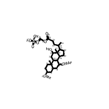 COC1CCC2(C)C(C1)CC(OC)C1C2CC(O)C2(C)C(C(C)CCC(=O)OCOP(=O)(O)O)CCC12